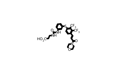 O=C(O)CCNC(=O)Nc1cccc(Sc2ccc(C=CC(=O)N3CCOCC3)c(C(F)(F)F)c2C(F)(F)F)c1